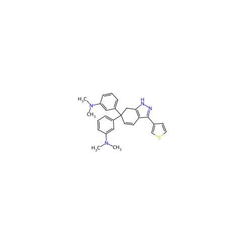 CN(C)c1cccc(C2(c3cccc(N(C)C)c3)C=Cc3c(-c4ccsc4)n[nH]c3C2)c1